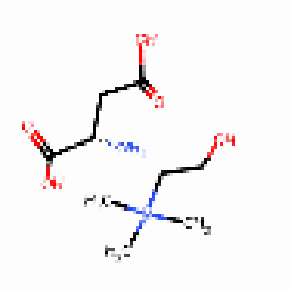 C[N+](C)(C)CCO.N[C@@H](CC(=O)O)C(=O)O